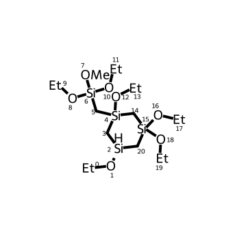 CCO[SiH]1C[Si](C[Si](OC)(OCC)OCC)(OCC)C[Si](OCC)(OCC)C1